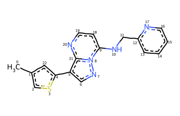 Cc1csc(-c2cnn3c(NCc4ccccn4)ccnc23)c1